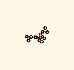 C1=CCC(c2ccc(-c3ccc(N(c4ccc(-c5ccc(-c6ccccc6)c(-c6ccccc6)c5)cc4)c4ccccc4-c4cccc5cccc(C6CCCCC6)c45)cc3)cc2-c2ccccc2)C=C1